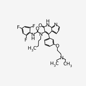 CCCCN(C(=O)Nc1c(F)cc(F)cc1F)c1c(-c2cccc(OCCN(CC)CC)c2)c2cccnc2[nH]c1=O